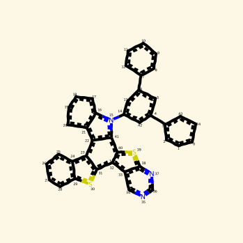 c1ccc(-c2cc(-c3ccccc3)cc(-n3c4ccccc4c4c5c6ccccc6sc5c5c6cncnc6sc5c43)c2)cc1